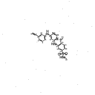 C#Cc1cccc(Nc2cc(Nc3cc(S(=O)(=O)NC)ccc3SC)ncn2)c1